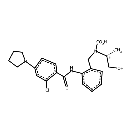 C[C@H](CO)N(Cc1ccccc1NC(=O)c1ccc(N2CCCC2)cc1Cl)C(=O)O